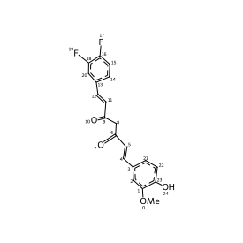 COc1cc(C=CC(=O)CC(=O)C=Cc2ccc(F)c(F)c2)ccc1O